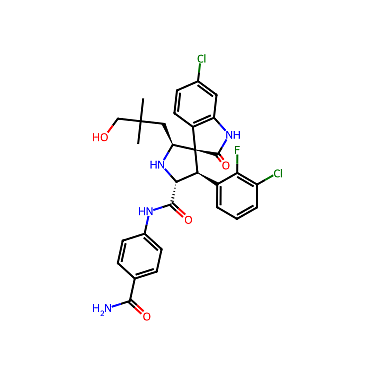 CC(C)(CO)C[C@@H]1N[C@@H](C(=O)Nc2ccc(C(N)=O)cc2)[C@H](c2cccc(Cl)c2F)[C@]12C(=O)Nc1cc(Cl)ccc12